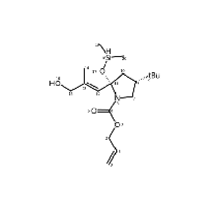 C=CCOC(=O)N1C[C@@H](C(C)(C)C)C[C@@]1(/C=C(\C)CO)O[SiH](C)C